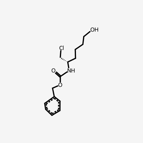 O=C(N[C@H](CCl)CCCCO)OCc1ccccc1